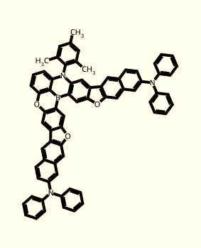 Cc1cc(C)c(N2c3cc4c(cc3B3c5cc6oc7cc8cc(N(c9ccccc9)c9ccccc9)ccc8cc7c6cc5Oc5cccc2c53)oc2cc3cc(N(c5ccccc5)c5ccccc5)ccc3cc24)c(C)c1